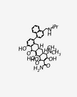 CC(C)NCc1ccc(-c2ccc(O)c3c2C[C@H]2C[C@H]4[C@@H](N(C)C)C(O)=C(C(N)=O)C(=O)[C@@]4(O)C(O)=C2C3=O)c2ccccc12